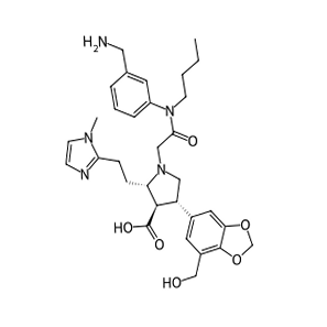 CCCCN(C(=O)CN1C[C@H](c2cc(CO)c3c(c2)OCO3)[C@@H](C(=O)O)[C@@H]1CCc1nccn1C)c1cccc(CN)c1